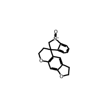 O=[N+]1CC2(CCOc3cc4c(cc32)CCO4)c2ccccc21